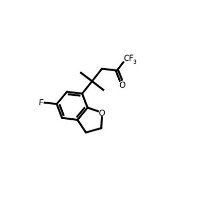 CC(C)(CC(=O)C(F)(F)F)c1cc(F)cc2c1OCC2